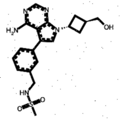 CS(=O)(=O)NCc1cccc(-c2cn([C@H]3C[C@H](CO)C3)c3ncnc(N)c23)c1